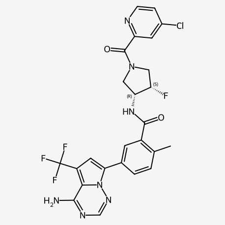 Cc1ccc(-c2cc(C(F)(F)F)c3c(N)ncnn23)cc1C(=O)N[C@@H]1CN(C(=O)c2cc(Cl)ccn2)C[C@@H]1F